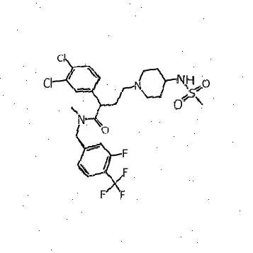 CN(Cc1ccc(C(F)(F)F)c(F)c1)C(=O)C(CCN1CCC(NS(C)(=O)=O)CC1)c1ccc(Cl)c(Cl)c1